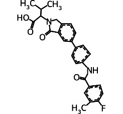 Cc1cc(C(=O)Nc2ccc(-c3ccc4c(c3)C(=O)N(C(C(=O)O)C(C)C)C4)cc2)ccc1F